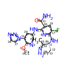 CCOc1ncc(Nc2nc(N[C@H](CC(C)C)[C@H](C)N)c(F)cc2C(N)=O)cc1-n1ccnn1